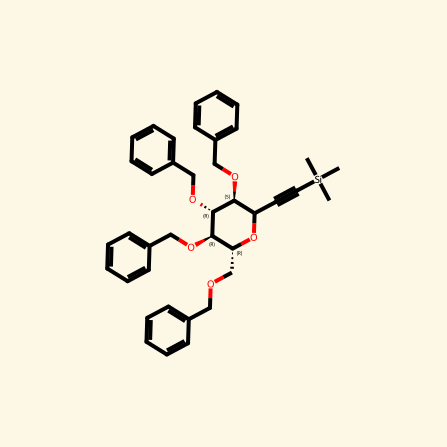 C[Si](C)(C)C#CC1O[C@H](COCc2ccccc2)[C@@H](OCc2ccccc2)[C@H](OCc2ccccc2)[C@H]1OCc1ccccc1